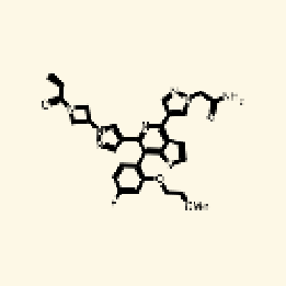 C=CC(=O)N1CC(n2cc(-c3nc(-c4cnn(CC(N)=O)c4)c4ccsc4c3-c3ccc(F)cc3OCCOC)cn2)C1